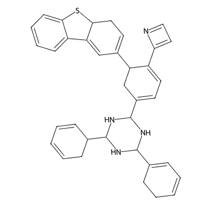 C1=CCCC(C2NC(C3=CC=C(C4=CC=N4)C(C4=CCC5Sc6ccccc6C5=C4)C3)NC(C3C=CC=CC3)N2)=C1